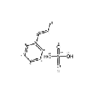 CC=Cc1cccnc1.O=S(=O)(O)O